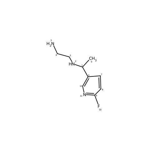 CC(NCCN)c1ccc(F)nc1